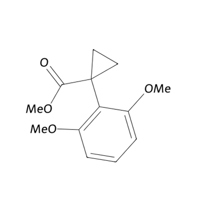 COC(=O)C1(c2c(OC)cccc2OC)CC1